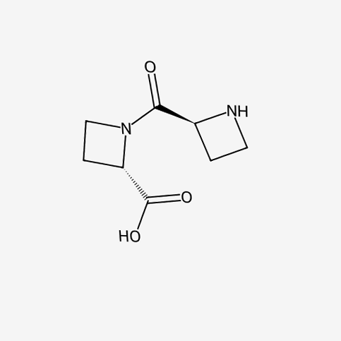 O=C(O)[C@@H]1CCN1C(=O)[C@@H]1CCN1